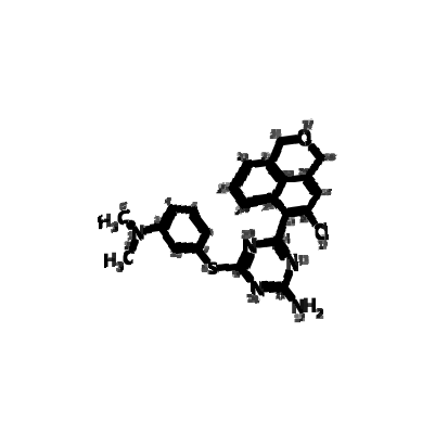 CN(C)c1cccc(Sc2nc(N)nc(-c3c(Cl)cc4c5c(cccc35)COC4)n2)c1